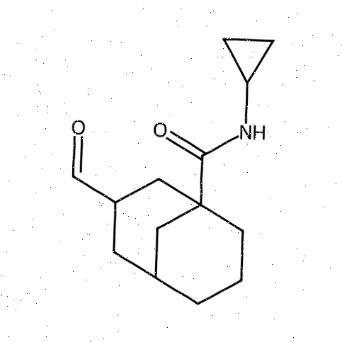 O=CC1CC2CCCC(C(=O)NC3CC3)(C1)C2